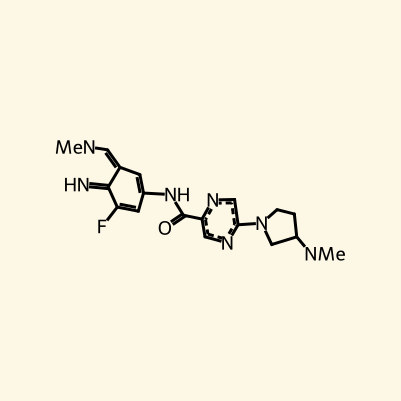 CN/C=C1/C=C(NC(=O)c2cnc(N3CCC(NC)C3)cn2)C=C(F)C1=N